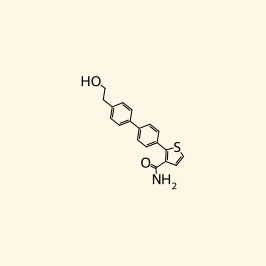 NC(=O)c1ccsc1-c1ccc(-c2ccc(CCO)cc2)cc1